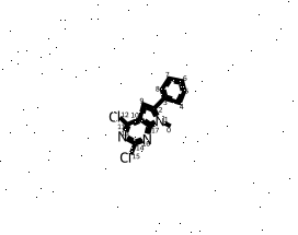 Cn1c(-c2ccccc2)cc2c(Cl)nc(Cl)nc21